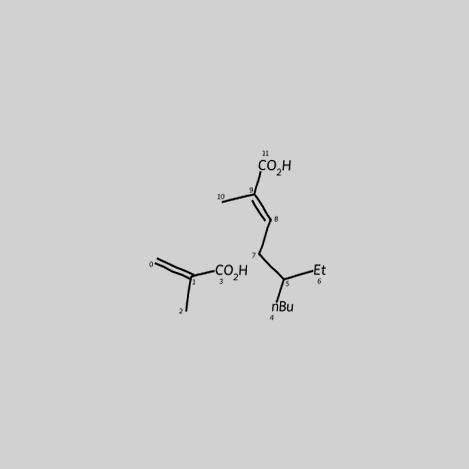 C=C(C)C(=O)O.CCCCC(CC)CC=C(C)C(=O)O